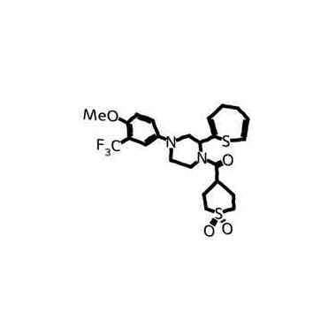 COc1ccc(N2CCN(C(=O)C3CCS(=O)(=O)CC3)C(C3=CCCC=CS3)C2)cc1C(F)(F)F